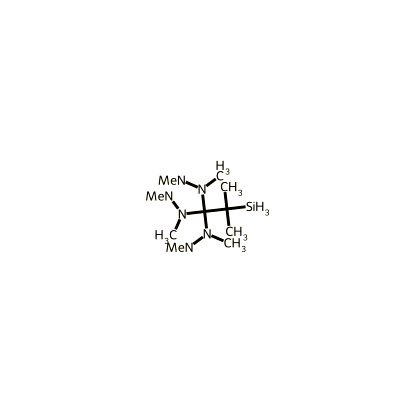 CNN(C)C(N(C)NC)(N(C)NC)C(C)(C)[SiH3]